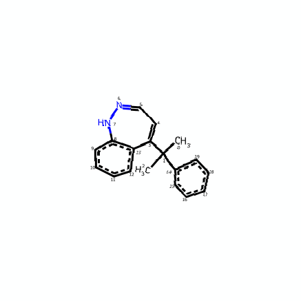 CC(C)(C1=CC=NNc2ccccc21)c1ccccc1